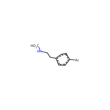 CC(=O)c1ccc(CCNC(=O)O)cc1